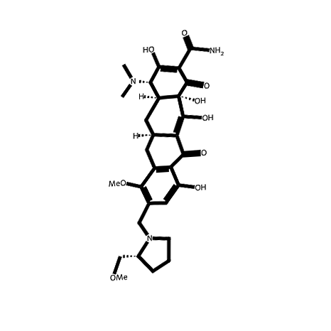 COC[C@H]1CCCN1Cc1cc(O)c2c(c1OC)C[C@H]1C[C@H]3[C@H](N(C)C)C(O)=C(C(N)=O)C(=O)[C@@]3(O)C(O)=C1C2=O